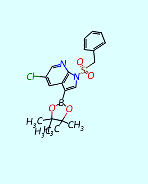 CC1(C)OB(c2cn(S(=O)(=O)Cc3ccccc3)c3ncc(Cl)cc23)OC1(C)C